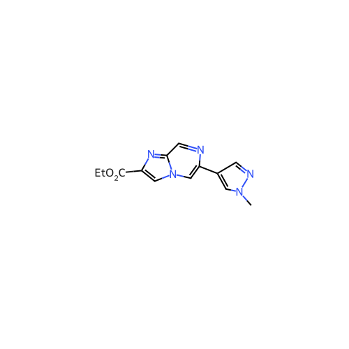 CCOC(=O)c1cn2cc(-c3cnn(C)c3)ncc2n1